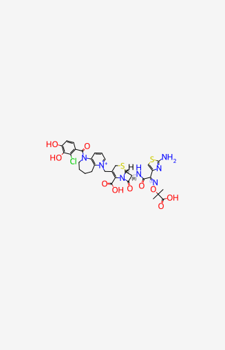 CC(C)(O/N=C(\C(=O)N[C@@H]1C(=O)N2C(C(=O)O)=C(C[n+]3cccc4c3CCCCN4C(=O)c3ccc(O)c(O)c3Cl)CS[C@H]12)c1csc(N)n1)C(=O)O